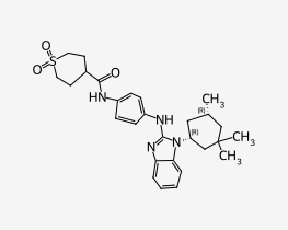 C[C@H]1C[C@@H](n2c(Nc3ccc(NC(=O)C4CCS(=O)(=O)CC4)cc3)nc3ccccc32)CC(C)(C)C1